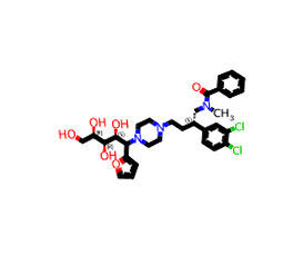 CN(C[C@@H](CCN1CCN(C(c2ccco2)[C@H](O)[C@@H](O)[C@H](O)CO)CC1)c1ccc(Cl)c(Cl)c1)C(=O)c1ccccc1